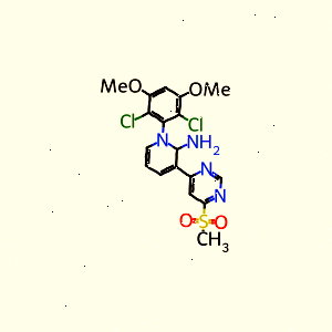 COc1cc(OC)c(Cl)c(N2C=CC=C(c3cc(S(C)(=O)=O)ncn3)C2N)c1Cl